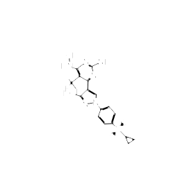 CNc1nc(N)nc(-c2cn(-c3ccc(S(=O)(=O)C4CC4)cc3)nc2C)c1C(F)(F)F